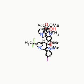 CC[C@]12C=CCN3CC[C@@]4(c5cc([C@@]6(C(=O)OC)C[C@H]7C[C@@H](C(C)(F)F)CN(Cc8c6[nH]c6ccc(I)cc86)C7)c(OC)cc5N(C)[C@H]4[C@@](O)(C(=O)OC)[C@@H]1OC(C)=O)[C@@H]32